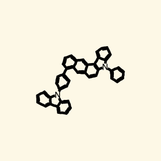 c1ccc(-n2c3ccccc3c3c4cc5cccc(-c6ccc(-n7c8ccccc8c8ccccc87)cc6)c5cc4ccc32)cc1